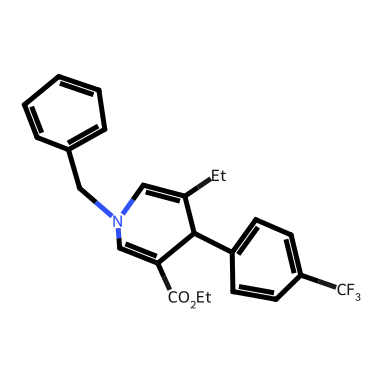 CCOC(=O)C1=CN(Cc2ccccc2)C=C(CC)C1c1ccc(C(F)(F)F)cc1